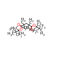 CC(C)(CC(C)(C)C(=O)OC(C)(C)C(C)(C(F)(F)F)C(F)(F)F)C(=O)OC(C)(C)C(C)(C(F)(F)F)C(F)(F)F